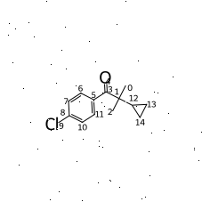 CC(C)(C(=O)c1ccc(Cl)cc1)C1CC1